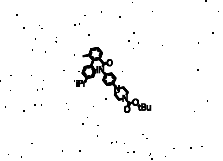 Cc1cccc(C(=O)Nc2ccc(N3CCN(C(=O)OC(C)(C)C)CC3)cc2)c1-c1ccc(C(C)C)cc1